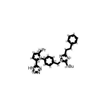 CCCCc1nc(CCc2ccccc2)nn1Cc1ccc(-n2c(-c3nnn[nH]3)ccc2C(C)C)cc1